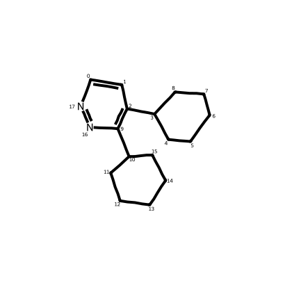 c1cc(C2CCCCC2)c(C2CCCCC2)nn1